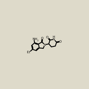 CCc1cc(N)c2c(c1)CN(C1CCC(=O)NC1=O)C2=O